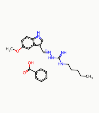 CCCCCNC(=N)N/N=C/c1c[nH]c2ccc(OC)cc12.O=C(O)c1ccccc1